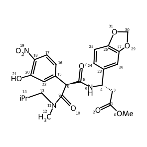 COC(=O)C[C@H](NC(=O)[C@@H](C(=O)N(C)CC(C)C)c1ccc([N+](=O)[O-])c(O)c1)c1ccc2c(c1)OCO2